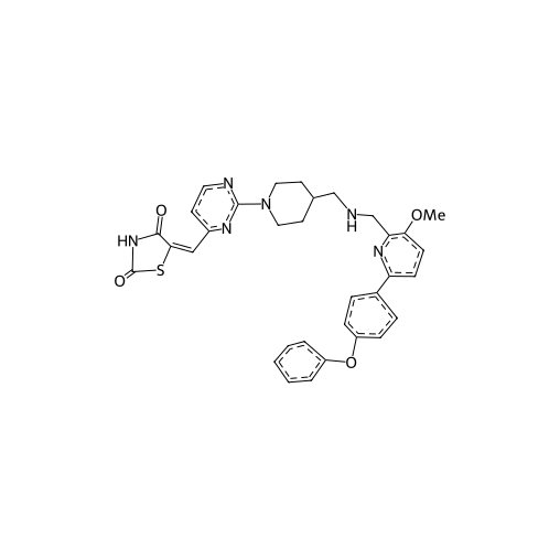 COc1ccc(-c2ccc(Oc3ccccc3)cc2)nc1CNCC1CCN(c2nccc(/C=C3/SC(=O)NC3=O)n2)CC1